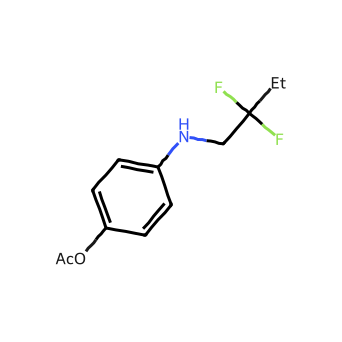 CCC(F)(F)CNc1ccc(OC(C)=O)cc1